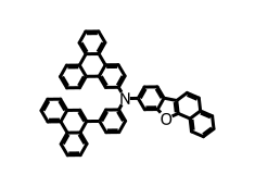 c1cc(-c2cc3ccccc3c3ccccc23)cc(N(c2ccc3c(c2)oc2c4ccccc4ccc32)c2ccc3c4ccccc4c4ccccc4c3c2)c1